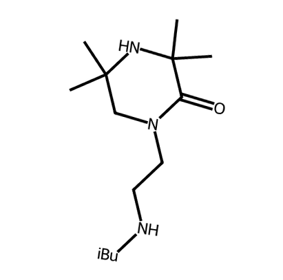 CCC(C)NCCN1CC(C)(C)NC(C)(C)C1=O